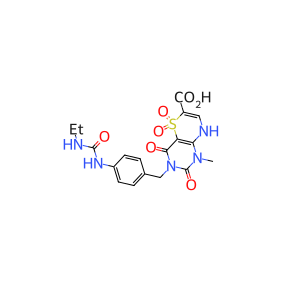 CCNC(=O)Nc1ccc(Cn2c(=O)c3c(n(C)c2=O)NC=C(C(=O)O)S3(=O)=O)cc1